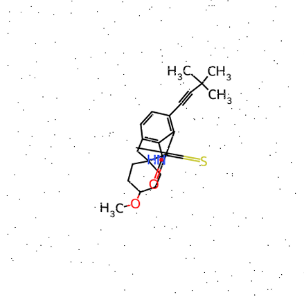 COC1CCC2(CC1)Cc1ccc(C#CC(C)(C)C)cc1C21NC(=S)NC1=O